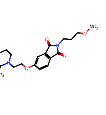 CC1CCCCN1CCOc1ccc2c(c1)C(=O)N(CCCO[N+](=O)[O-])C2=O